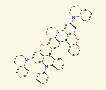 c1ccc(N2c3ccccc3B3c4cc5c6c(c4Oc4cc(N7CCCc8ccccc87)cc2c43)CCCN6c2cc(N3CCCc4ccccc43)cc3c2B5c2ccccc2O3)cc1